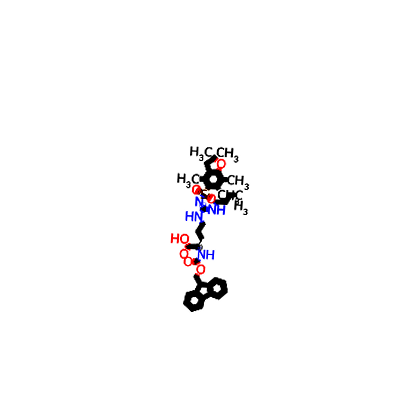 CCCCN/C(=N\S(=O)(=O)c1c(C)c(C)c2c(c1C)CC(C)(C)O2)NCCC[C@H](NC(=O)OCC1c2ccccc2-c2ccccc21)C(=O)O